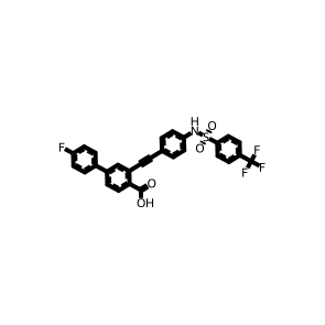 O=C(O)c1ccc(-c2ccc(F)cc2)cc1C#Cc1ccc(NS(=O)(=O)c2ccc(C(F)(F)F)cc2)cc1